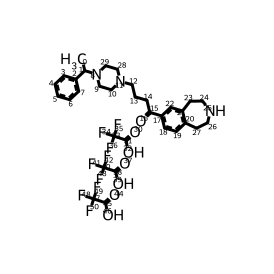 CC(c1ccccc1)N1CCN(CCCC(=O)c2ccc3c(c2)CCNCC3)CC1.O=C(O)C(F)(F)F.O=C(O)C(F)(F)F.O=C(O)C(F)(F)F